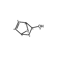 OC1CC2C=CC1S2